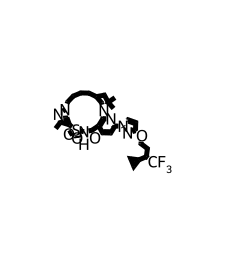 Cc1nn2cc1S(=O)(=O)NC(=O)c1ccc(-n3ccc(OCCC(C4CC4)C(F)(F)F)n3)nc1N1CC(CCCC2)CC1(C)C